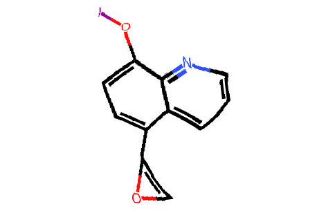 IOc1ccc(C2=CO2)c2cccnc12